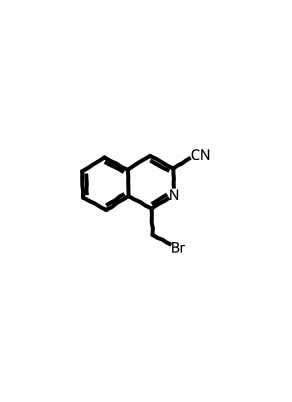 N#Cc1cc2ccccc2c(CBr)n1